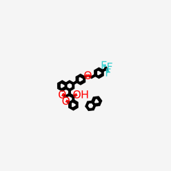 O=c1oc2ccccc2c(O)c1C1CC(c2ccc(OCc3ccc(C(F)(F)F)cc3)cc2)Cc2ccccc21.c1ccc2c(c1)CCCC2